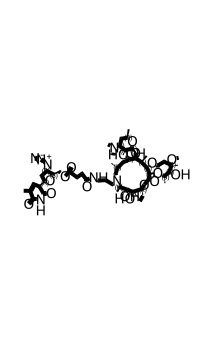 CC[C@H]1OC(=O)[C@H](C)[C@@H](OC2C[C@@](C)(OC)[C@@H](O)[C@H](C)O2)[C@H](C)C(O[C@@H]2O[C@H](C)C[C@H](N(C)C)[C@H]2O)[C@](C)(O)C[C@@H](C)CN(CCCNC(=O)CCC(=O)OC[C@H]2O[C@@H](C3C=C(C)C(=O)NC3=O)C[C@H]2N=[N+]=[N-])[C@H](C)[C@@H](O)[C@]1(C)O